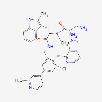 Cc1cc(-c2cc(Cl)c(Sc3ncccc3CN)c(CNC(=O)[C@H](Cc3c(C)[nH]c4ccccc34)N(C)C(=O)[C@@H](N)CN)c2)ccn1